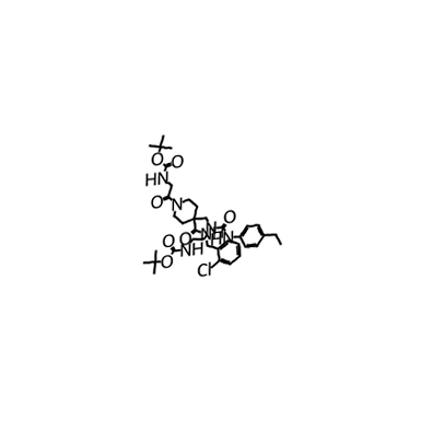 CCc1ccc(NC(=O)N(CCNC(=O)OC(C)(C)C)CC2(C(=O)NCc3ccccc3Cl)CCN(C(=O)CNC(=O)OC(C)(C)C)CC2)cc1